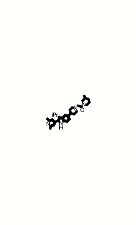 Cc1cc(-c2[nH]c3ccc(C4CCN(CC(=O)N5CCCC(C)C5)CC4)cc3c2C(C)C)cc(C)n1